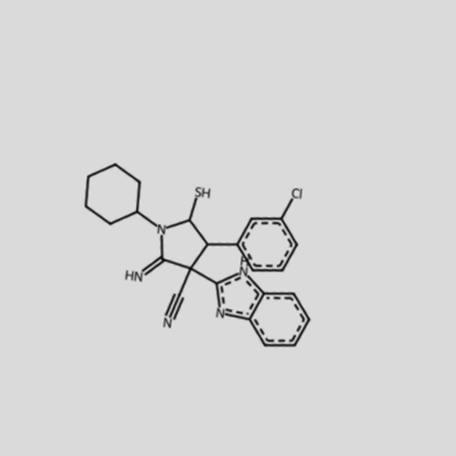 N#CC1(c2nc3ccccc3[nH]2)C(=N)N(C2CCCCC2)C(S)C1c1cccc(Cl)c1